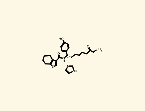 CCC(=O)CCCCC[C@H](NC(=O)c1csc2c1CCCC2)c1ccc(O)cc1.c1c[nH]cn1